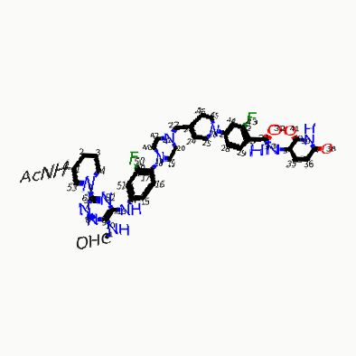 CC(=O)N[C@@H]1CCCN(c2nnc(NC=O)c(Nc3ccc(N4CCN(CC5CCN(c6ccc(C(=O)NC7CCC(=O)NC7=O)c(F)c6)CC5)CC4)c(F)c3)n2)C1